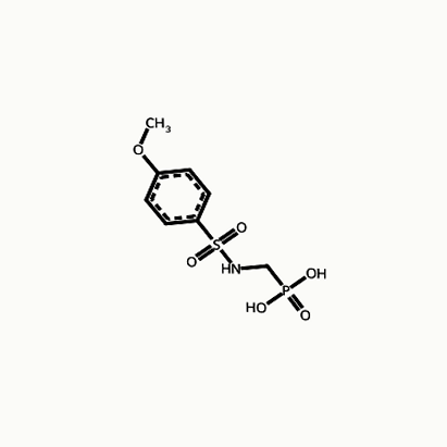 COc1ccc(S(=O)(=O)NCP(=O)(O)O)cc1